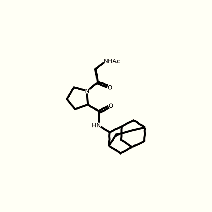 CC(=O)NCC(=O)N1CCCC1C(=O)NC1C2CC3CC(C2)CC1C3